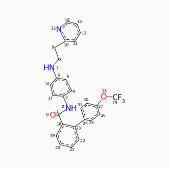 O=C(Nc1ccc(NCCc2ccccn2)cc1)c1ccccc1-c1ccc(OC(F)(F)F)cc1